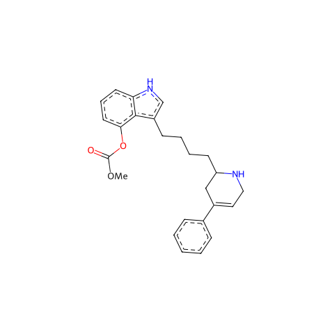 COC(=O)Oc1cccc2[nH]cc(CCCCC3CC(c4ccccc4)=CCN3)c12